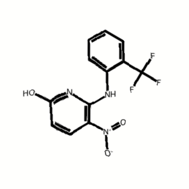 O=[N+]([O-])c1ccc(O)nc1Nc1ccccc1C(F)(F)F